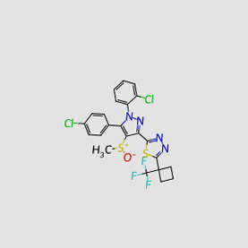 C[S+]([O-])c1c(-c2nnc(C3(C(F)(F)F)CCC3)s2)nn(-c2ccccc2Cl)c1-c1ccc(Cl)cc1